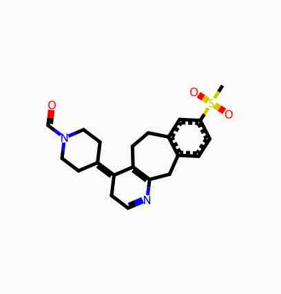 CS(=O)(=O)c1ccc2c(c1)CCC1=C(C2)N=CCC1=C1CCN(C=O)CC1